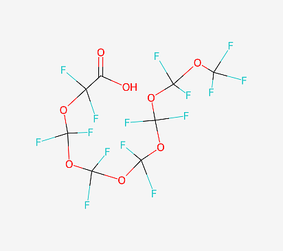 O=C(O)C(F)(F)OC(F)(F)OC(F)(F)OC(F)(F)OC(F)(F)OC(F)(F)OC(F)(F)F